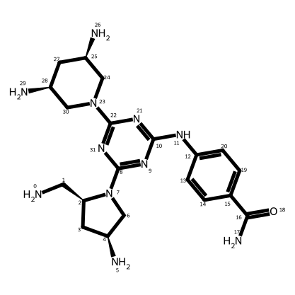 NC[C@@H]1C[C@H](N)CN1c1nc(Nc2ccc(C(N)=O)cc2)nc(N2C[C@H](N)C[C@H](N)C2)n1